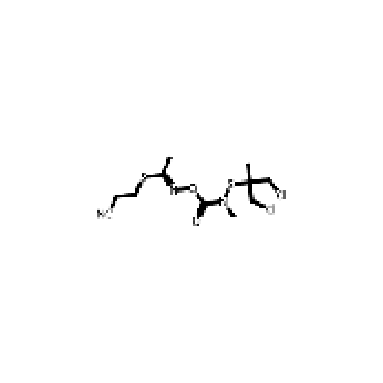 CC(=NOC(=O)N(C)SC(C)(CCl)CCl)SCCC#N